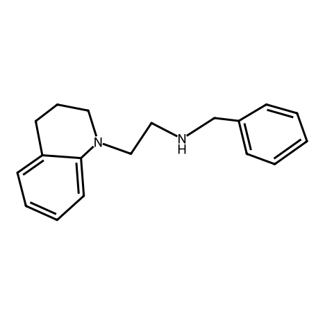 c1ccc(CNCCN2CCCc3ccccc32)cc1